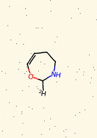 [2H]C1NCCC=CO1